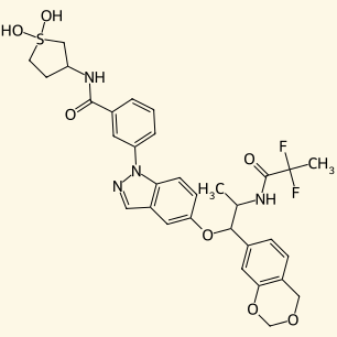 CC(NC(=O)C(C)(F)F)C(Oc1ccc2c(cnn2-c2cccc(C(=O)NC3CCS(O)(O)C3)c2)c1)c1ccc2c(c1)OCOC2